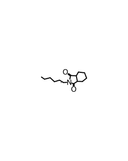 CCCCC[CH]N1C(=O)C2CCCCC2C1=O